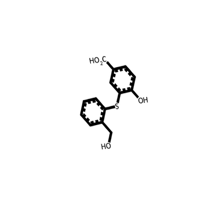 O=C(O)c1ccc(O)c(Sc2ccccc2CO)c1